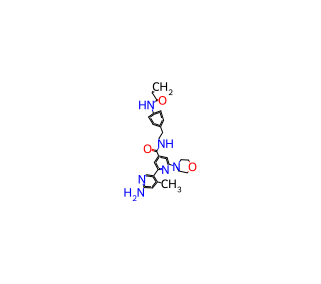 C=CC(=O)Nc1ccc(CCNC(=O)c2cc(-c3cnc(N)cc3C)nc(N3CCOCC3)c2)cc1